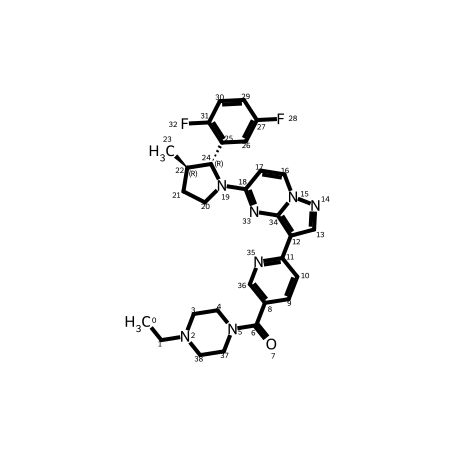 CCN1CCN(C(=O)c2ccc(-c3cnn4ccc(N5CC[C@@H](C)[C@@H]5c5cc(F)ccc5F)nc34)nc2)CC1